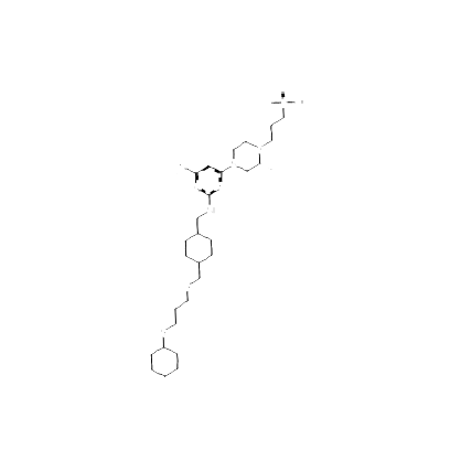 C[C@H]1CN(c2cc(N)nc(NCC3CCC(CNCCCNC4CCCCC4)CC3)n2)CCN1CCCP(=O)(O)O